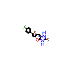 O=C1NC(=S)N/C1=C/c1ccc(-c2ccc(F)cc2)s1